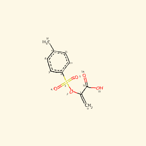 C=C(OS(=O)(=O)c1ccc(C)cc1)C(=O)O